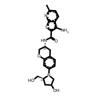 Cc1ccc2c(N)c(C(=O)N[C@H]3COc4cc(N5CC(O)C[C@H]5CO)ccc4C3)sc2n1